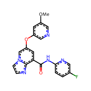 COc1cncc(Oc2cc(C(=O)Nc3ccc(F)cn3)c3nccn3c2)c1